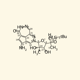 CC(C)(C)[SiH2]OC(C)(C)C1OC(n2cc3c(N)cc4c(=O)[nH]ncc(n2)c34)C(C)(O)C1O